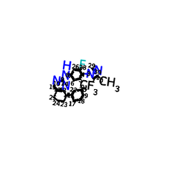 Cc1cn(-c2ccc(Nc3ncc4c(n3)C(c3cccc(C(F)(F)F)c3)CCC4)cc2F)cn1